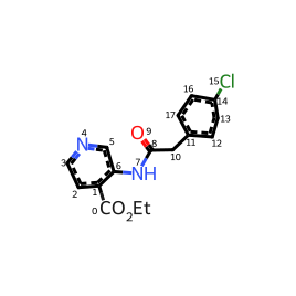 CCOC(=O)c1ccncc1NC(=O)Cc1ccc(Cl)cc1